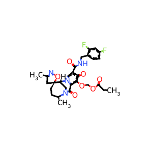 CCC(=O)OCOc1c2n(cc(C(=O)NCc3ccc(F)cc3F)c1=O)[C@@H]1CN(C2=O)[C@@H](C)CC[C@]12CC(C)=NO2